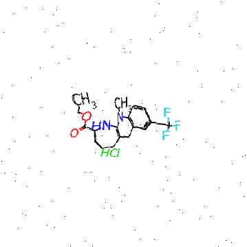 CCOC(=O)C1CCCC2=C(N1)N(C)c1ccc(C(F)(F)F)cc1C2.Cl